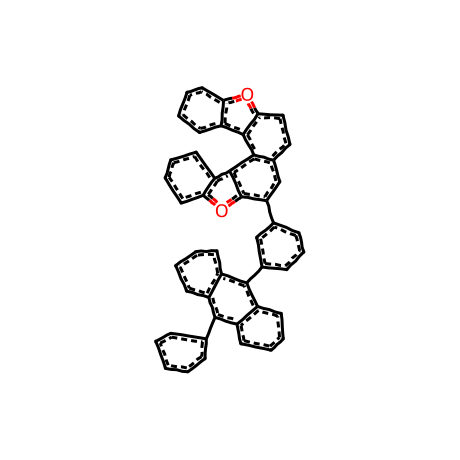 c1ccc(-c2c3ccccc3c(-c3cccc(-c4cc5ccc6oc7ccccc7c6c5c5c4oc4ccccc45)c3)c3ccccc23)cc1